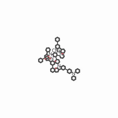 N#Cc1c(-n2c3ccccc3c3cc(-c4ccccc4)ccc32)c(-c2ccccn2)c(-c2ccc(-n3c4ccccc4c4cc(-c5ccc(N(c6ccccc6)c6ccccc6)cc5)ccc43)cc2)c(-n2c3ccccc3c3cc(-c4ccccc4)ccc32)c1-n1c2ccccc2c2cc(-c3ccccc3)ccc21